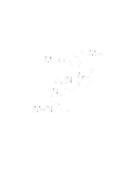 CNc1cnc(S(=O)(=O)N(Cc2ccc(OC)cc2OC)c2cccc(F)n2)cc1C(F)(F)F